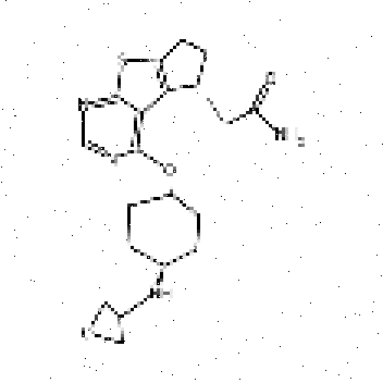 NC(=O)C[C@H]1CCc2sc3ncnc(O[C@H]4CC[C@H](NC5COC5)CC4)c3c21